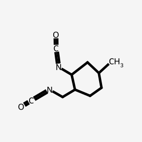 CC1CCC(CN=C=O)C(N=C=O)C1